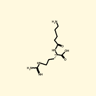 N=C(N)NCCC[C@H](NC(=O)CCCCN)C(=O)O